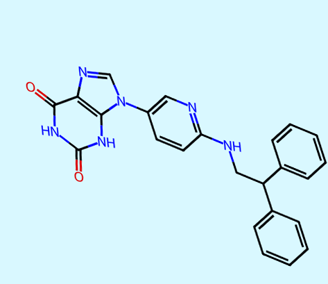 O=c1[nH]c(=O)c2ncn(-c3ccc(NCC(c4ccccc4)c4ccccc4)nc3)c2[nH]1